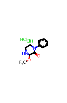 Cl.Cl.O=C1C(OC(F)(F)F)NCCN1c1ccccc1